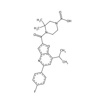 CC(C)c1cc(-c2ccc(F)cc2)nc2cc(C(=O)N3CCN(C(=O)O)CC3(C)C)oc12